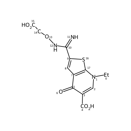 CCn1cc(C(=O)O)c(=O)c2cc(C(=N)NOCC(=O)O)sc21